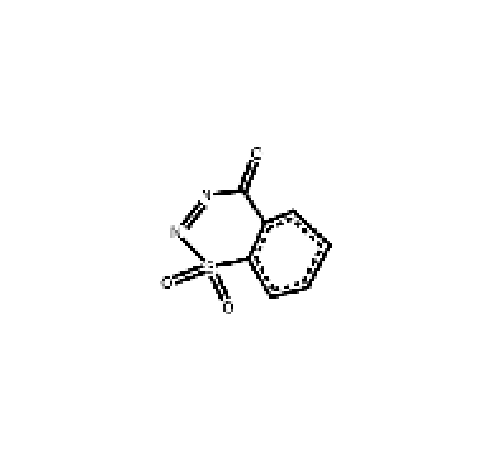 O=C1N=NS(=O)(=O)c2ccc[c]c21